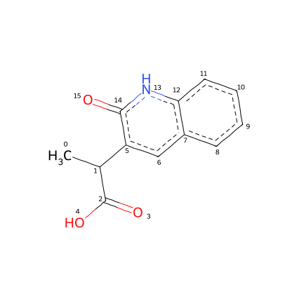 CC(C(=O)O)c1cc2ccccc2[nH]c1=O